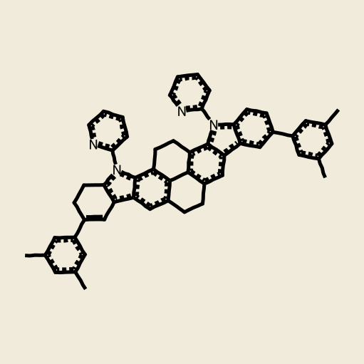 Cc1cc(C)cc(C2=Cc3c(n(-c4ccccn4)c4c5c6c(cc34)CCc3cc4c7cc(-c8cc(C)cc(C)c8)ccc7n(-c7ccccn7)c4c(c3-6)CC5)CC2)c1